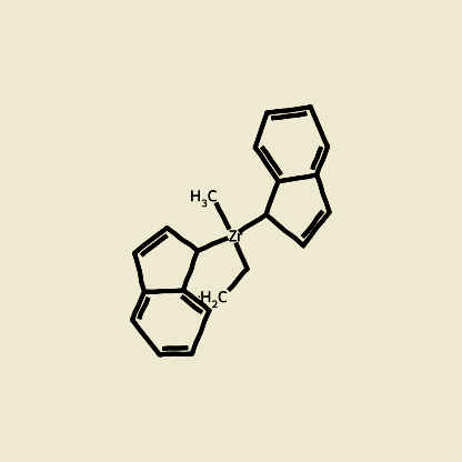 [CH2][CH2][Zr]([CH3])([CH]1C=Cc2ccccc21)[CH]1C=Cc2ccccc21